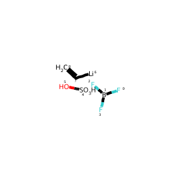 FB(F)F.O=S(=O)(O)O.[Li][CH]=C